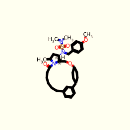 COc1ccc(CN([C@H]2CC(C)N3C(=O)CCCCCc4cccc(c4)C4CCC(CC4)OC[C@@H]23)S(=O)(=O)N(C)C)cc1